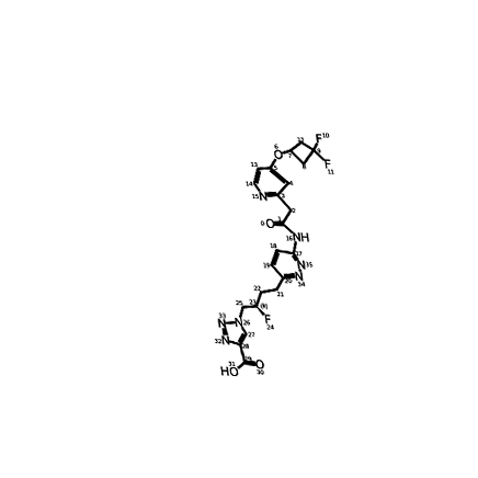 O=C(Cc1cc(OC2CC(F)(F)C2)ccn1)Nc1ccc(CC[C@@H](F)Cn2cc(C(=O)O)nn2)nn1